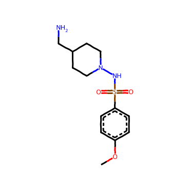 COc1ccc(S(=O)(=O)NN2CCC(CN)CC2)cc1